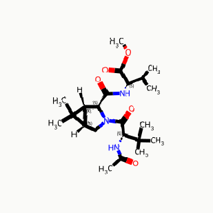 COC(=O)[C@@H](NC(=O)[C@@H]1[C@@H]2[C@H](CN1C(=O)[C@@H](NC(C)=O)C(C)(C)C)C2(C)C)C(C)C